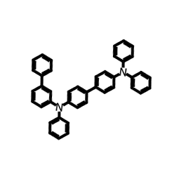 c1ccc(-c2cccc(N(c3ccccc3)c3ccc(-c4ccc(N(c5ccccc5)c5ccccc5)cc4)cc3)c2)cc1